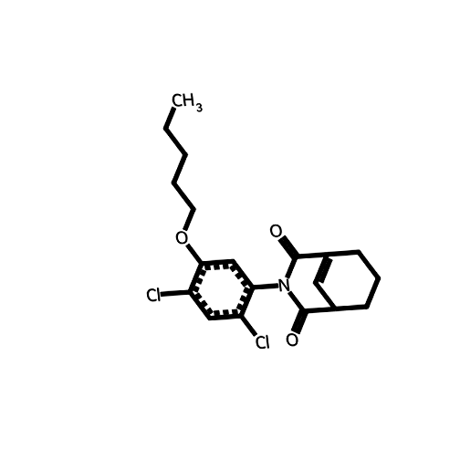 CCCCCOc1cc(N2C(=O)C3=CC(CCC3)C2=O)c(Cl)cc1Cl